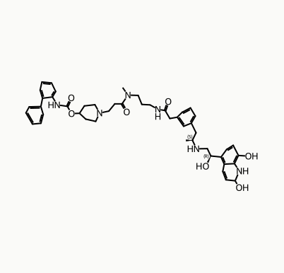 C[C@@H](Cc1cccc(CC(=O)NCCCN(C)C(=O)CCN2CCC(OC(=O)Nc3ccccc3-c3ccccc3)CC2)c1)NC[C@H](O)c1ccc(O)c2c1C=CC(O)N2